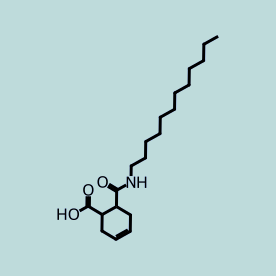 CCCCCCCCCCCCNC(=O)C1CC=CCC1C(=O)O